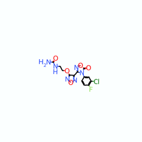 NC(=O)NCCOc1nonc1-c1noc(=O)n1-c1ccc(F)c(Cl)c1